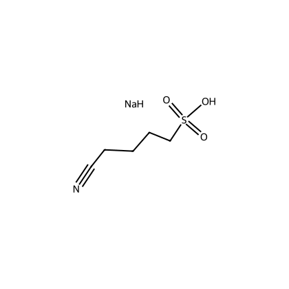 N#CCCCCS(=O)(=O)O.[NaH]